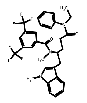 CCN(C(=O)CCC(Cc1cn(C)c2ccccc12)N(C)C(=O)c1cc(C(F)(F)F)cc(C(F)(F)F)c1)c1ccccc1